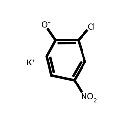 O=[N+]([O-])c1ccc([O-])c(Cl)c1.[K+]